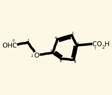 O=CCOc1ccc(C(=O)O)cc1